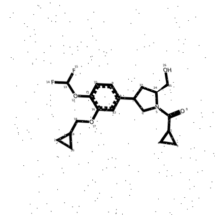 O=C(C1CC1)N1CC(c2ccc(OC(F)F)c(OCC3CC3)c2)C[C@H]1CO